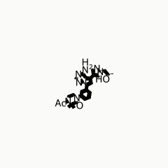 CC(=O)N1CCN(c2cccc(-c3cc(-c4cnn(C[C@H](C)O)c4)c4c(N)ncnn34)c2)C(=O)C1(C)C